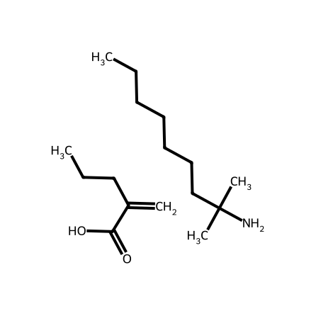 C=C(CCC)C(=O)O.CCCCCCCC(C)(C)N